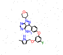 Cc1ccc(COc2cc(F)cc(Oc3ccc(-c4nn(C5CCOCC5)c5ncnc(N)c45)cc3)c2)[nH]1